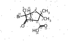 CC1(C)S[C@H]2N(C(=O)C2(Cl)Br)[C@H]1C(=O)O